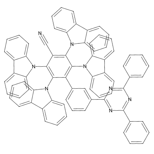 N#Cc1c(-n2c3ccccc3c3ccccc32)c(-n2c3ccccc3c3ccccc32)c(-c2cccc(-c3nc(-c4ccccc4)nc(-c4ccccc4)n3)c2)c(-n2c3ccccc3c3ccccc32)c1-n1c2ccccc2c2ccccc21